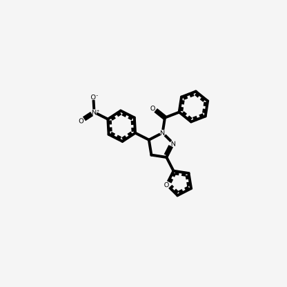 O=C(c1ccccc1)N1N=C(c2ccco2)CC1c1ccc([N+](=O)[O-])cc1